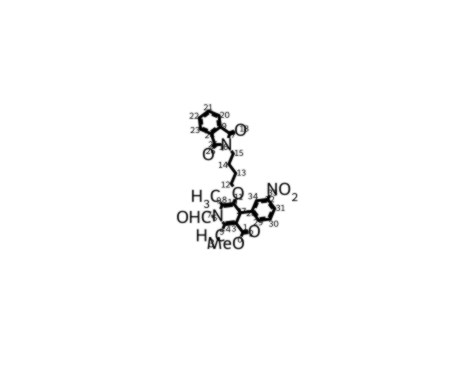 COC(=O)C1=C(C)N(C=O)C(C)=C(OCCCCN2C(=O)c3ccccc3C2=O)C1c1cccc([N+](=O)[O-])c1